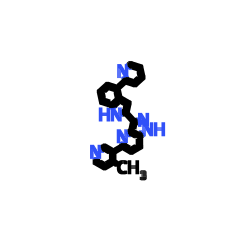 Cc1ccncc1-c1ccc2[nH]nc(-c3cc4c(-c5ccccn5)cccc4[nH]3)c2n1